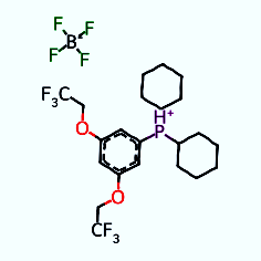 FC(F)(F)COc1cc(OCC(F)(F)F)cc([PH+](C2CCCCC2)C2CCCCC2)c1.F[B-](F)(F)F